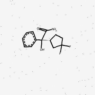 NC(=O)C(O)(c1ccccc1)[C@@H]1CCC(F)(F)C1